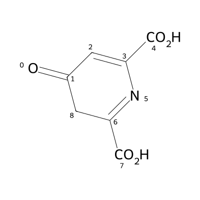 O=C1C=C(C(=O)O)N=C(C(=O)O)C1